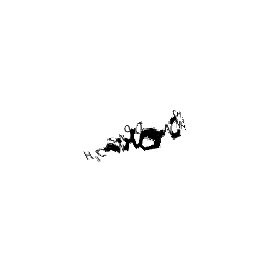 Cc1cn2cc(-c3cc4ccc(N5CCN[C@H](C)C5)cc4oc3=O)nc2s1